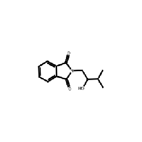 CC(C)C(O)CN1C(=O)c2ccccc2C1=O